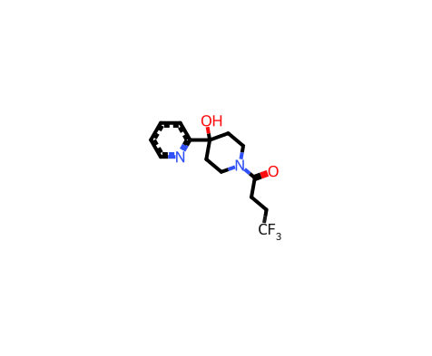 O=C(CCC(F)(F)F)N1CCC(O)(c2ccccn2)CC1